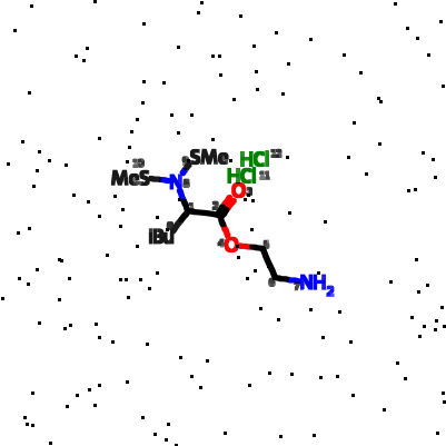 CCC(C)C(C(=O)OCCN)N(SC)SC.Cl.Cl